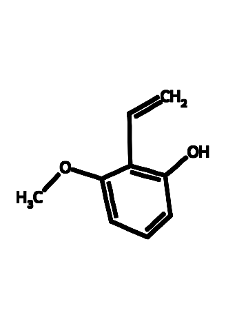 C=Cc1c(O)cccc1OC